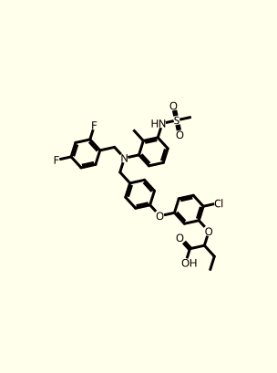 CCC(Oc1cc(Oc2ccc(CN(Cc3ccc(F)cc3F)c3cccc(NS(C)(=O)=O)c3C)cc2)ccc1Cl)C(=O)O